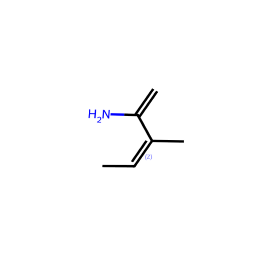 C=C(N)/C(C)=C\C